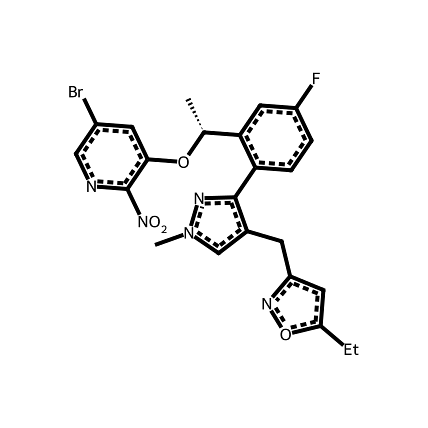 CCc1cc(Cc2cn(C)nc2-c2ccc(F)cc2[C@@H](C)Oc2cc(Br)cnc2[N+](=O)[O-])no1